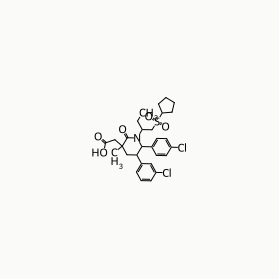 CCC(CS(=O)(=O)C1CCCC1)N1C(=O)C(C)(CC(=O)O)CC(c2cccc(Cl)c2)C1c1ccc(Cl)cc1